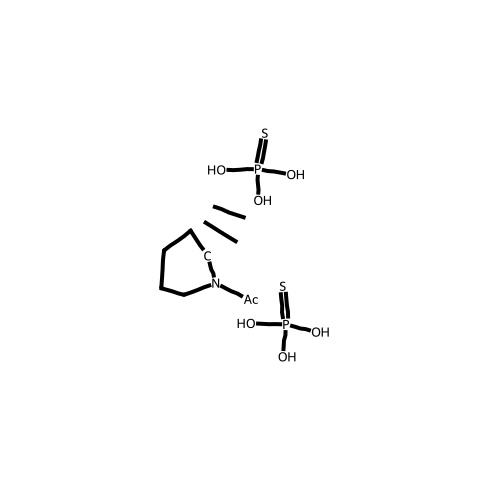 CC.CC.CC(=O)N1CCCCC1.OP(O)(O)=S.OP(O)(O)=S